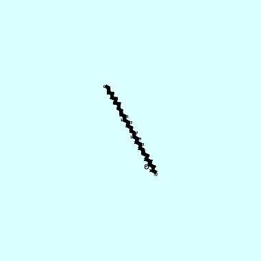 CCCCCCCCCCCCCCCCCCCCCCCCCCCCC(=O)CCC